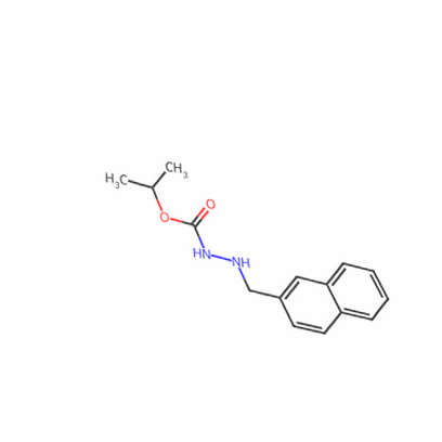 CC(C)OC(=O)NNCc1ccc2ccccc2c1